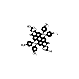 Cc1ccc(Oc2cc3c4c(cc(Oc5ccc(C)cc5)c5c6c(Oc7ccc(C)cc7)cc7c8c(cc(Oc9ccc(C)cc9)c(c2c45)c86)C(=O)N(CC(=O)O)C7=O)C(=O)N(CC(=O)O)C3=O)cc1